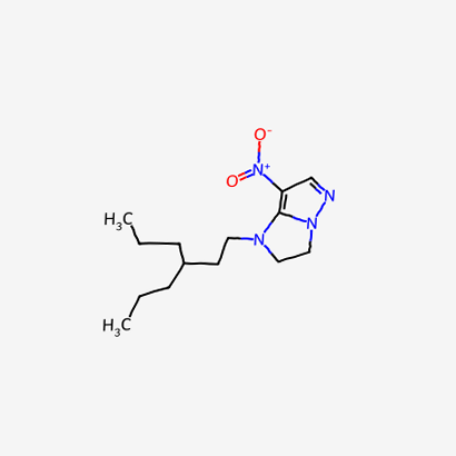 CCCC(CCC)CCN1CCn2ncc([N+](=O)[O-])c21